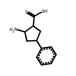 NC1CC(c2ccccc2)CC1C(=S)S